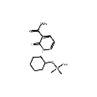 COC(=O)c1cccn([C@H]2CCCCC2O[Si](C)(C)C(C)(C)C)c1=O